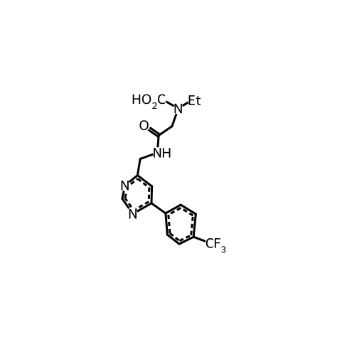 CCN(CC(=O)NCc1cc(-c2ccc(C(F)(F)F)cc2)ncn1)C(=O)O